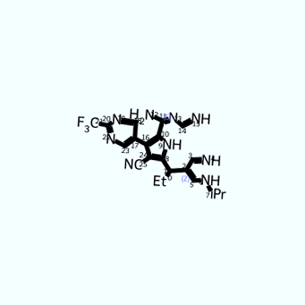 CCC(/C(C=N)=C/NC(C)C)c1[nH]c(/C(N)=N\C=N)c(-c2cnc(C(F)(F)F)nc2)c1C#N